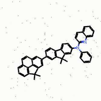 CC1(C)c2cc(-c3cc4c5c(ccc6cccc(c65)C4(C)C)c3)ccc2-c2ccc(N(c3ccccc3)c3ccc4ccccc4n3)cc21